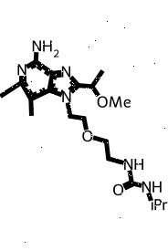 COC(C)c1nc2c(N)nc(C)c(C)c2n1CCOCCNC(=O)NC(C)C